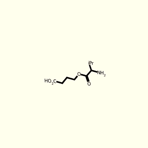 CC(C)C(N)C(=O)OCCCC(=O)O